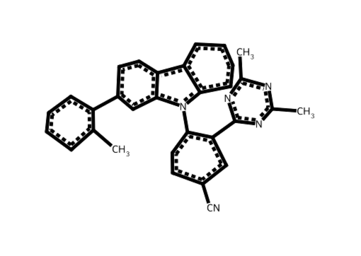 Cc1nc(C)nc(-c2cc(C#N)ccc2-n2c3ccccc3c3ccc(-c4ccccc4C)cc32)n1